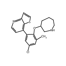 Cc1cc(Cl)cc(-c2ccnc3ccsc23)c1OC1CCCCNC1